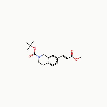 COC(=O)/C=C/c1ccc2c(c1)CN(C(=O)OC(C)(C)C)CC2